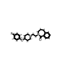 O=C1c2ccccc2CCCN1CCN1CCC(Oc2ccc(F)cc2)CC1